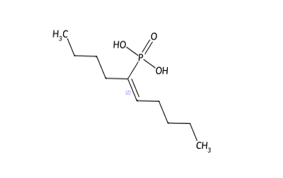 CCCC/C=C(/CCCC)P(=O)(O)O